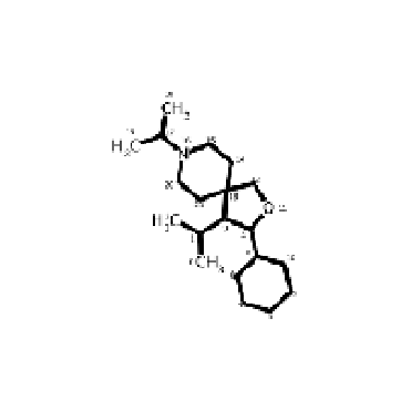 CC(C)C1C(C2CCCCC2)OCC12CCN(C(C)C)CC2